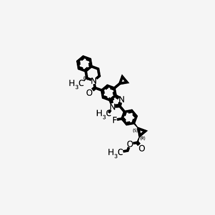 CCOC(=O)[C@@H]1C[C@@H]1c1ccc(-c2nc3c(C4CC4)cc(C(=O)N4CCc5ccccc5[C@H]4C)cc3n2C)c(F)c1